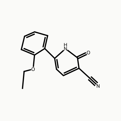 CCOc1ccccc1-c1ccc(C#N)c(=O)[nH]1